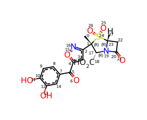 C[C@]1(c2cc(C(=O)c3ccc(O)c(O)c3)on2)[C@@H](C(=O)O)N2C(=O)C[C@H]2S1(=O)=O